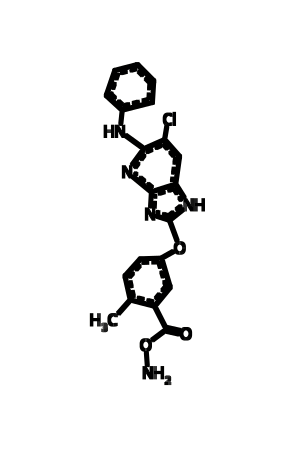 Cc1ccc(Oc2nc3nc(Nc4ccccc4)c(Cl)cc3[nH]2)cc1C(=O)ON